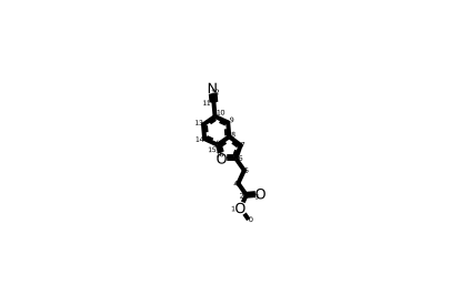 COC(=O)CCc1cc2cc(C#N)ccc2o1